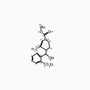 CCOC(=O)c1ccccc1C(O)C1CCN(C(=O)OC(C)(C)C)C=C1C